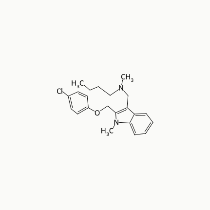 CCCCN(C)Cc1c(COc2ccc(Cl)cc2)n(C)c2ccccc12